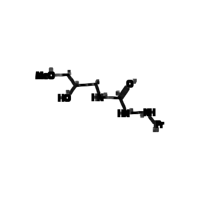 COCC(O)CNC(=O)NNC(C)C